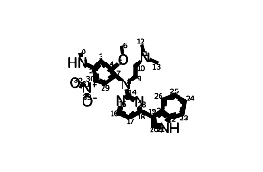 CNc1cc(OC)c(N(CCN(C)C)c2nccc(-c3c[nH]c4ccccc34)n2)cc1[N+](=O)[O-]